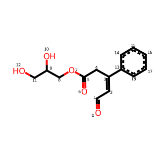 O=CC=C(CC(=O)OCC(O)CO)c1ccccc1